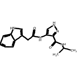 CC(C)NC(=O)c1n[nH]cc1NC(=O)Cc1c[nH]c2ccccc12